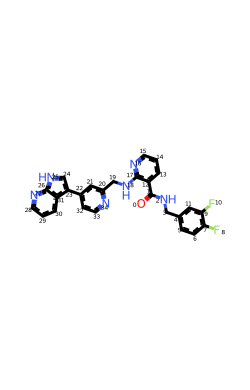 O=C(NCc1ccc(F)c(F)c1)c1cccnc1NCc1cc(-c2c[nH]c3ncccc23)ccn1